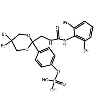 CCC1(CC)COC(CNC(=O)Nc2c(C(C)C)cccc2C(C)C)(c2ccc(OP(=O)(O)O)cc2)OC1